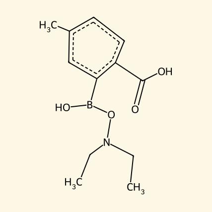 CCN(CC)OB(O)c1cc(C)ccc1C(=O)O